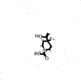 C=C(O)C1(F)CCN(C(=O)C(C)C)CC1